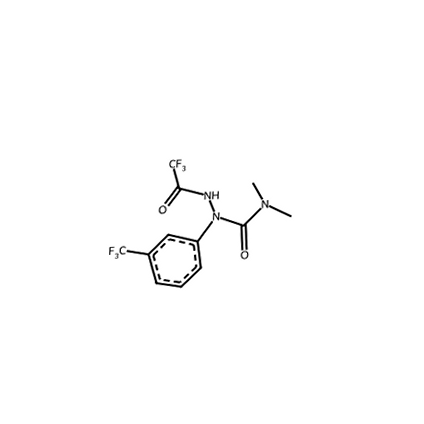 CN(C)C(=O)N(NC(=O)C(F)(F)F)c1cccc(C(F)(F)F)c1